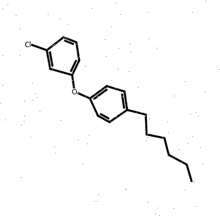 [CH2]CCCCCc1ccc(Oc2cccc(Cl)c2)cc1